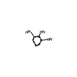 CC[CH]c1c(CCC)cccc1CCC